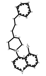 [O]c1cccc2nccc(N3CCC(CCCc4ccccc4)CC3)c12